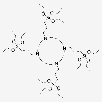 CCO[Si](CCCN1CCCN(CCC[Si](OCC)(OCC)OCC)CCN(CCC[Si](OCC)(OCC)OCC)CCCN(CCC[Si](OCC)(OCC)OCC)CC1)(OCC)OCC